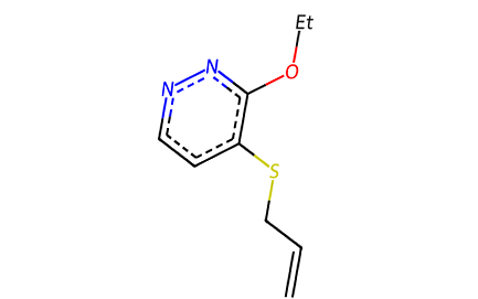 C=CCSc1ccnnc1OCC